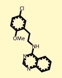 COc1ccc(Cl)cc1CCNc1ncnc2ccccc12